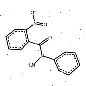 NN(C(=O)c1ccccc1[N+](=O)[O-])c1ccccc1